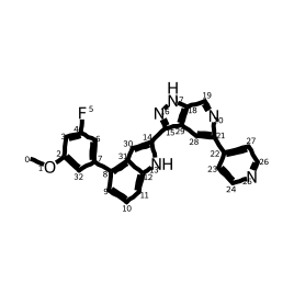 COc1cc(F)cc(-c2cccc3[nH]c(-c4n[nH]c5cnc(-c6ccncc6)cc45)cc23)c1